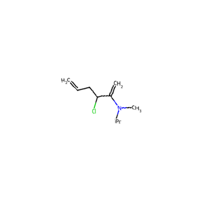 C=CCC(Cl)C(=C)N(C)C(C)C